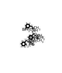 CC(C)(Cc1cccc(Br)c1)NC[C@H](O[Si](C)(C)C(C)(C)C)c1ccc(OCc2ccccc2)c(NS(C)(=O)=O)c1